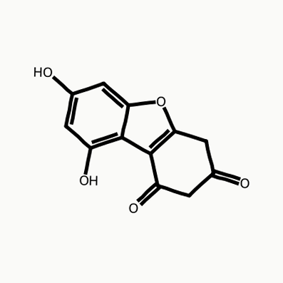 O=C1CC(=O)c2c(oc3cc(O)cc(O)c23)C1